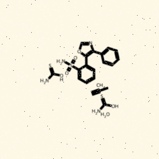 C.C#CC.NC(O)=S.NC(O)=S.NS(=O)(=O)c1ccccc1-c1ocnc1-c1ccccc1.O